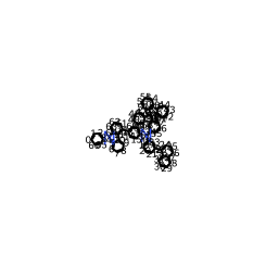 c1ccc(-n2c3ccccc3c3c(-c4ccc(N(c5cccc(-c6cccc7ccccc67)c5)c5cccc([Si](c6ccccc6)(c6ccccc6)c6ccccc6)c5)cc4)cccc32)cc1